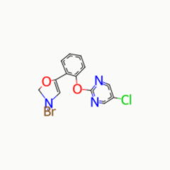 Clc1cnc(Oc2ccccc2C2=CN(Br)CO2)nc1